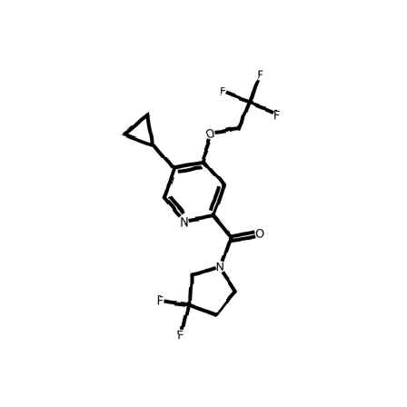 O=C(c1cc(OCC(F)(F)F)c(C2CC2)cn1)N1CCC(F)(F)C1